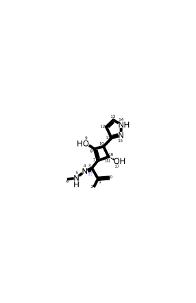 C=C(C)/C(=N\NC)C1=C(O)C(c2cc[nH]n2)[C@@H]1O